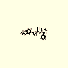 C[C@@H](c1ccccc1)[C@@H](N)CNc1ncc(-c2ccc3c(c2)CC(=O)N3)s1